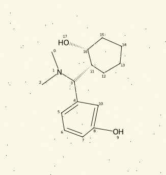 CN(C)C(c1cccc(O)c1)[C@H]1CCCC[C@H]1O